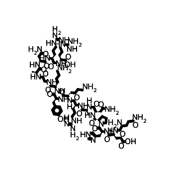 C[C@H](NC(=O)CNC(=O)[C@H](CCCCN)NC(=O)[C@H](Cc1ccc(O)cc1)NC(=O)[C@H](CCCCN)NC(=O)[C@H](CCCNC(=N)N)NC(=O)[C@H](C)NC(=O)[C@H](CC(N)=O)NC(=O)[C@@H]1CCCN1C(=O)[C@H](Cc1c[nH]cn1)NC(=O)[C@H](CCC(=O)O)NC(=O)[C@@H](N)CCC(N)=O)C(=O)N[C@@H](CC(N)=O)C(=O)N[C@@H](CCCNC(=N)N)C(=O)N[C@@H](CCCNC(=N)N)C(=O)O